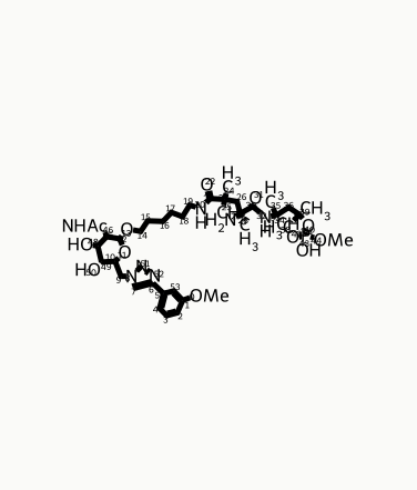 COc1cccc(-c2cn(CC3OC(OCCCCCCNC(=O)C(C)(C)CC(C)(N)C(=O)NC(C)(C)CC(C)(C)OP(=O)(O)OC)C(NC(C)=O)C(O)C3O)nn2)c1